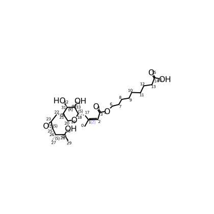 C/C(=C/C(=O)OCCCCCCCCC(=O)O)C[C@@H]1OC[C@H](CC2O[C@H]2[C@@H](C)[C@H](C)O)[C@@H](O)[C@H]1O